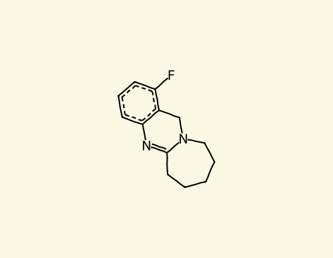 Fc1cccc2c1CN1CCCCCC1=N2